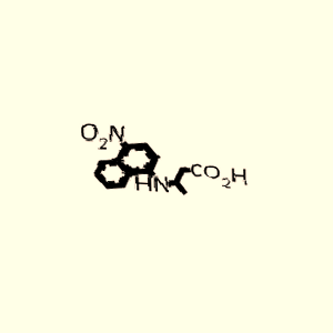 CC(CC(=O)O)Nc1ccc([N+](=O)[O-])c2ccccc12